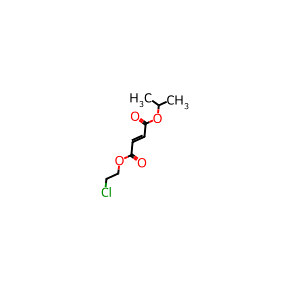 CC(C)OC(=O)/C=C/C(=O)OCCCl